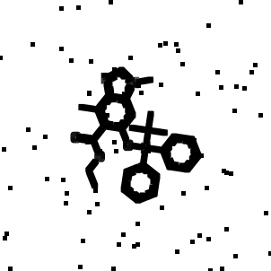 CCOC(=O)c1c(O[Si](c2ccccc2)(c2ccccc2)C(C)(C)C)cc2c(ncn2C)c1C